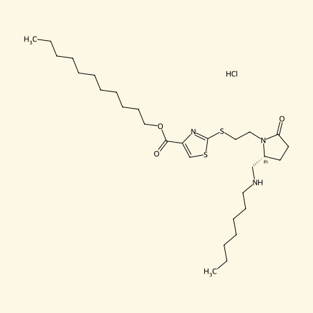 CCCCCCCCCCCOC(=O)c1csc(SCCN2C(=O)CC[C@@H]2CNCCCCCCC)n1.Cl